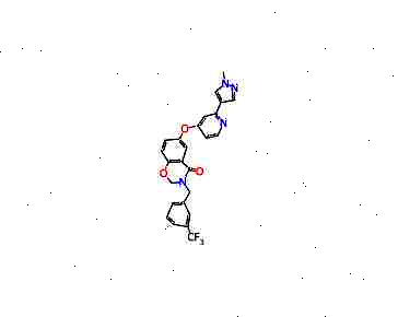 Cn1cc(-c2cc(Oc3ccc4c(c3)C(=O)N(Cc3cccc(C(F)(F)F)c3)CO4)ccn2)cn1